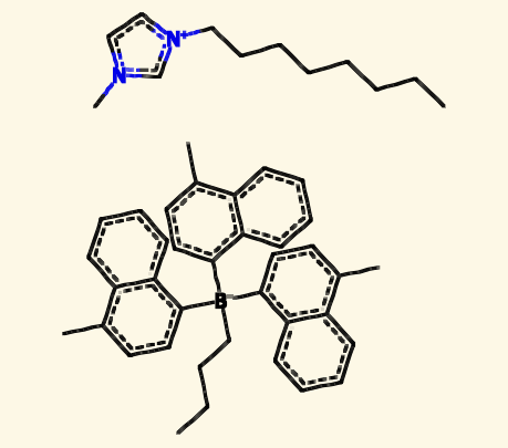 CCCCCCCC[n+]1ccn(C)c1.CCCC[B-](c1ccc(C)c2ccccc12)(c1ccc(C)c2ccccc12)c1ccc(C)c2ccccc12